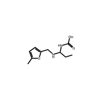 CCC(NCc1ccc(C)o1)NC(=O)O